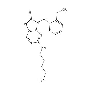 NCCCCNc1ncc2[nH]c(=O)n(Cc3ccccc3CC(F)(F)F)c2n1